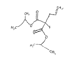 C=CCC(F)(C(=O)OC(C)C)C(=O)OC(C)C